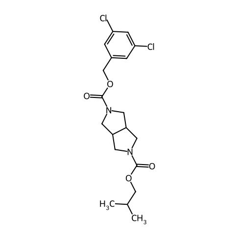 CC(C)COC(=O)N1CC2CN(C(=O)OCc3cc(Cl)cc(Cl)c3)CC2C1